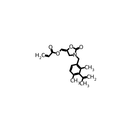 C=CC(=O)O/C=C1\CN(Cc2ccc(C)c(C(=C)C)c2C)C(=O)O1